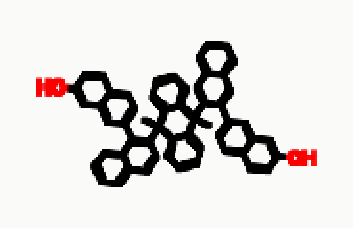 CC1(c2cc3ccccc3cc2-c2ccc3ccc(O)cc3c2)c2ccccc2C(C)(c2ccc3ccccc3c2-c2ccc3ccc(O)cc3c2)c2ccccc21